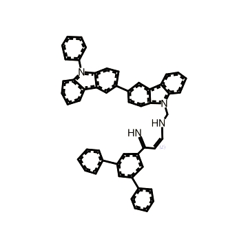 N=C(/C=C\NCn1c2ccccc2c2cc(-c3ccc4c(c3)c3ccccc3n4-c3ccccc3)ccc21)c1cc(-c2ccccc2)cc(-c2ccccc2)c1